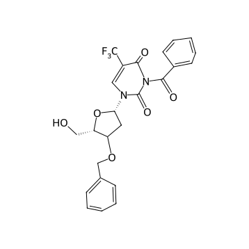 O=C(c1ccccc1)n1c(=O)c(C(F)(F)F)cn([C@@H]2CC(OCc3ccccc3)[C@H](CO)O2)c1=O